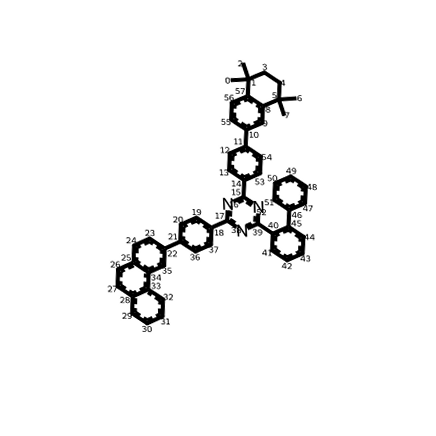 CC1(C)CCC(C)(C)c2cc(-c3ccc(-c4nc(-c5ccc(-c6ccc7ccc8ccccc8c7c6)cc5)nc(-c5ccccc5-c5ccccc5)n4)cc3)ccc21